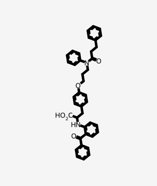 O=C(c1ccccc1)c1ccccc1NC(Cc1ccc(OCCCN(C(=O)CCc2ccccc2)c2ccccc2)cc1)C(=O)O